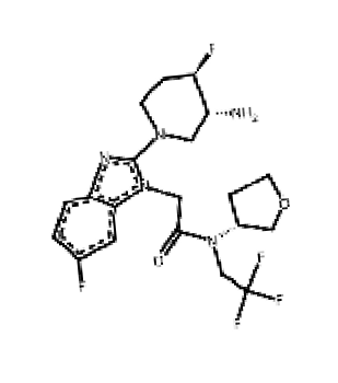 N[C@@H]1CN(c2nc3ccc(F)cc3n2CC(=O)N(CC(F)(F)F)[C@@H]2CCOC2)CC[C@H]1F